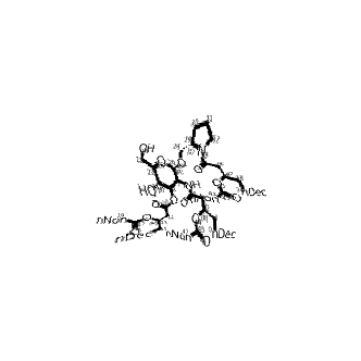 CCCCCCCCCCC[C@H](CC(=O)NC1C(OC(=O)C[C@@H](CCCCCCCCCCC)OC(=O)CCCCCCCCC)[C@H](O)C(CO)O[C@H]1OC[C@@H]1CCCN1C(=O)C[C@@H](CCCCCCCCCCC)OC(=O)CCCCCCCCC)OC(=O)CCCCCCCCC